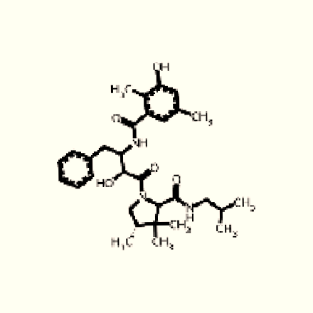 Cc1cc(O)c(C)c(C(=O)NC(Cc2ccccc2)C(O)C(=O)N2C[C@@H](C)C(C)(C)C2C(=O)NCC(C)C)c1